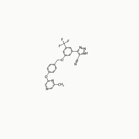 Cc1cncc(Oc2ccc(COc3cc(-c4nn[nH]c4C#N)cc(C(F)(F)F)c3)cc2)n1